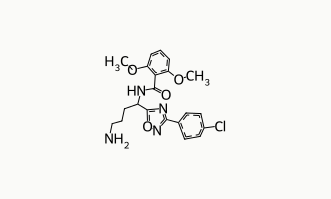 COc1cccc(OC)c1C(=O)NC(CCCN)c1nc(-c2ccc(Cl)cc2)no1